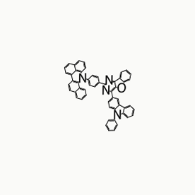 c1ccc(-n2c3ccccc3c3cc(-c4nc(-c5ccc(N6c7c(ccc8ccccc78)-c7cccc8cccc6c78)cc5)nc5c4oc4ccccc45)ccc32)cc1